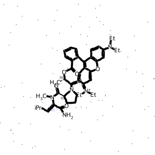 CCN(CC)c1ccc2c(-c3ccccc3C(=O)O[C@@H](C)C(=O)N3CCC[C@H]3C(=O)N(C)/C(=C\C(C)C)C(N)=O)c3ccc(=[N+](CC)CC)cc-3oc2c1